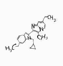 C=Cc1ccn2c(C)c(-c3cc4ccc(CC)cc4n3CC3CC3)nc2c1